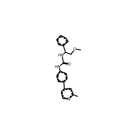 COCC(NC(=O)Nc1ccc(-c2ccnc(C)c2)cc1)c1ccccc1